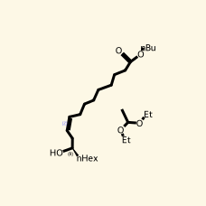 CCCCCC[C@@H](O)C/C=C\CCCCCCCC(=O)OCCCC.CCOC(C)OCC